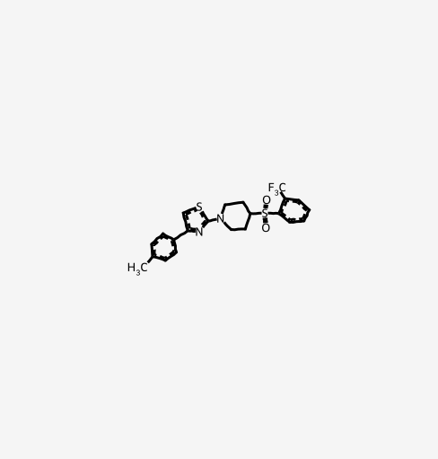 Cc1ccc(-c2csc(N3CCC(S(=O)(=O)c4ccccc4C(F)(F)F)CC3)n2)cc1